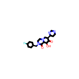 O=c1c(-c2ccncn2)cn2ccn(Cc3ccc(F)cc3)c(=O)c2c1O